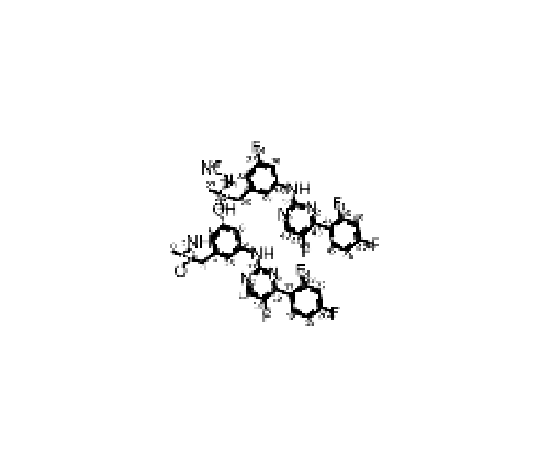 CS(=N)(=O)Cc1cccc(Nc2ncc(F)c(-c3ccc(F)cc3F)n2)c1.C[SH](O)(Cc1cc(F)cc(Nc2ncc(F)c(-c3ccc(F)cc3F)n2)c1)=NC#N